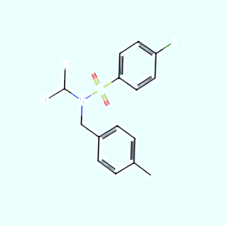 CCC(CC)N(Cc1ccc(C)cc1)S(=O)(=O)c1ccc(Cl)cc1